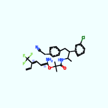 C=C/C(=C\C=C(/N)OC(C)(C)C(=O)NC(C)C(Cc1ccc(CC#N)cc1)c1cccc(Cl)c1)C(F)(F)F